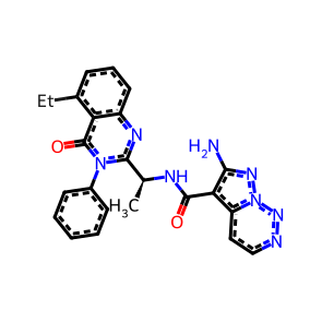 CCc1cccc2nc([C@H](C)NC(=O)c3c(N)nn4nnccc34)n(-c3ccccc3)c(=O)c12